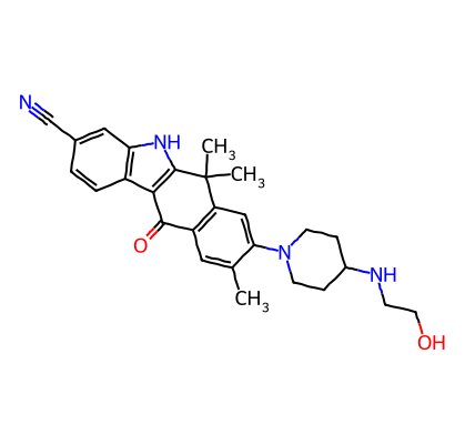 Cc1cc2c(cc1N1CCC(NCCO)CC1)C(C)(C)c1[nH]c3cc(C#N)ccc3c1C2=O